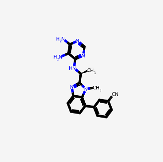 C[C@H](Nc1ncnc(N)c1N)c1nc2cccc(-c3cccc(C#N)c3)c2n1C